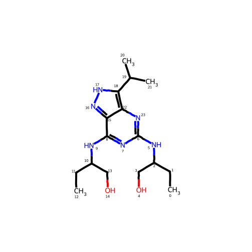 CCC(CO)Nc1nc(NC(CC)CO)c2n[nH]c(C(C)C)c2n1